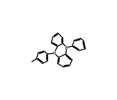 Cc1ccc(N2c3ccccc3B(c3ccccc3)c3ccccc32)cc1